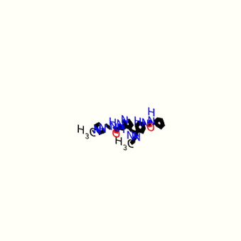 CCC1N=C(c2ccc(NC(=O)Nc3ccccc3)cc2)C(c2ccnc3[nH]c(C(=O)NCCN4CCN(C)CC4)cc23)=N1